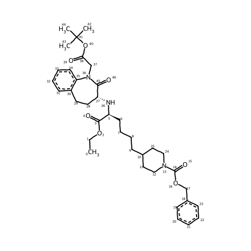 CCOC(=O)[C@H](CCCCC1CCN(C(=O)OCc2ccccc2)CC1)N[C@@H]1CCc2ccccc2N(CC(=O)OC(C)(C)C)C1=O